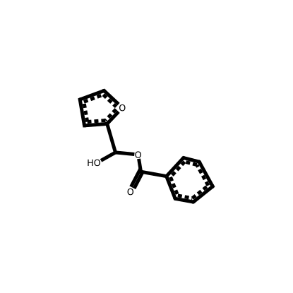 O=C(OC(O)c1ccco1)c1ccccc1